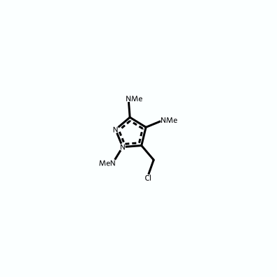 CNc1nn(NC)c(CCl)c1NC